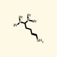 CC(C)N(C(C)C)C(CCC=C[SiH3])N(C(C)C)C(C)C